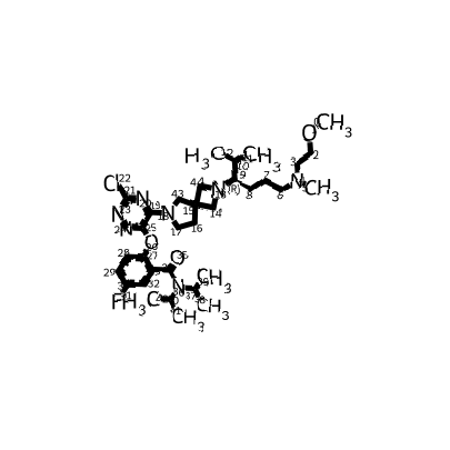 COCCN(C)CCC[C@H](C(C)C)N1CC2(CCN(c3nc(Cl)nnc3Oc3ccc(F)cc3C(=O)N(C(C)C)C(C)C)C2)C1